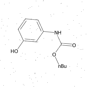 CCCCOC(=O)Nc1[c]c(O)ccc1